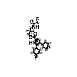 CC1(CNC(=O)CF)COC(c2nc(-c3ccncc3)c(-c3ccc(F)cc3)[nH]2)OC1